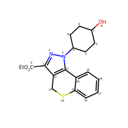 CCOC(=O)c1nn(C2CCC(O)CC2)c2c1CSc1ccccc1-2